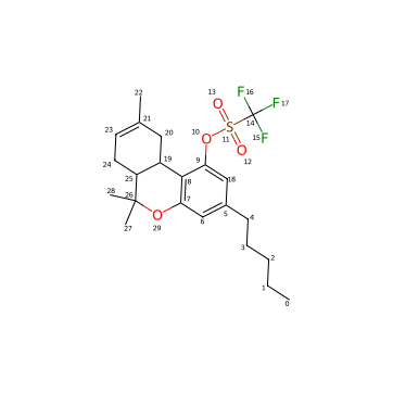 CCCCCc1cc2c(c(OS(=O)(=O)C(F)(F)F)c1)C1CC(C)=CCC1C(C)(C)O2